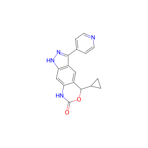 O=C1Nc2cc3[nH]nc(-c4ccncc4)c3cc2C(C2CC2)O1